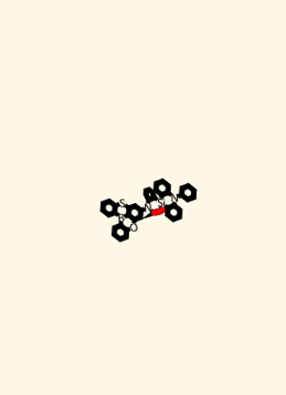 c1ccc(N2c3ccccc3[Si]3(c4ccccc42)c2ccccc2N(c2cc4c5c(c2)Sc2ccccc2B5c2ccccc2O4)c2ccccc23)cc1